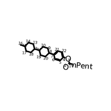 [CH2+][CH-]CCCC(=O)Oc1ccc(C2CCC(C3CCC(C)CC3)CC2)cc1